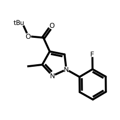 Cc1nn(-c2ccccc2F)cc1C(=O)OC(C)(C)C